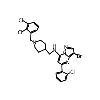 Clc1ccccc1-c1cc(NCC2CCN(Cc3cccc(Cl)c3Cl)CC2)n2ncc(Br)c2n1